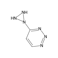 c1cc(-n2[nH][nH]2)nnn1